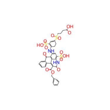 O=C(O)CCCS(=O)(=O)C1=CC(S(=O)(=O)O)=C(Nc2cc(S(=O)(=O)O)c3[nH]c(=O)c(C(=O)OCc4ccccc4)c4c3c2C(=O)c2ccccc2-4)CC1